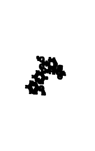 COC(=O)N1CCC[C@H](NS(C)(=O)=O)[C@@H]1COC1CCN(c2ccccc2OC)CC1